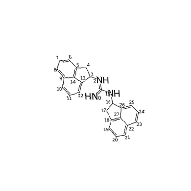 N=C(NC1Cc2cccc3cccc1c23)NC1Cc2cccc3cccc1c23